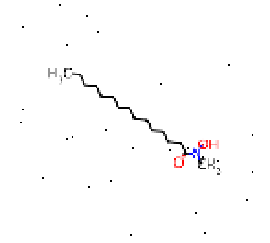 CCCCCCCCCCCCCCC(=O)N(C)O